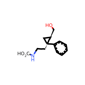 O=C(O)NCC[C@]1(c2ccccc2)C[C@H]1CO